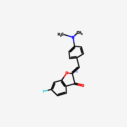 CN(C)c1ccc(/C=C2\Oc3cc(F)ccc3C2=O)cc1